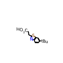 CC(C)(C)c1ccc2nc(CCC(=O)O)sc2c1